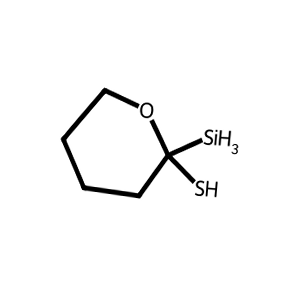 [SiH3]C1(S)CCCCO1